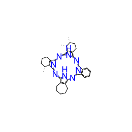 C[C@@H]1CCCC2=C1c1nc2nc2[nH]c(nc3nc(nc4[nH]c(n1)c1c4CCCCC1)-c1ccccc1-3)c1c2[C@H](C)[C@H](C)CC1